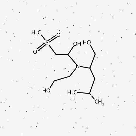 CC(C)CC(CO)N(CCO)C(O)CS(C)(=O)=O